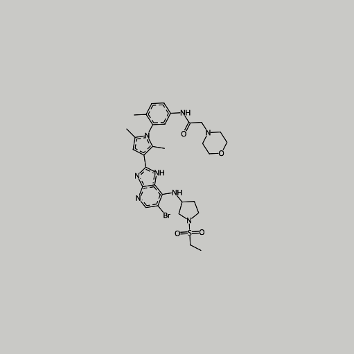 CCS(=O)(=O)N1CCC(Nc2c(Br)cnc3nc(-c4cc(C)n(-c5cc(NC(=O)CN6CCOCC6)ccc5C)c4C)[nH]c23)C1